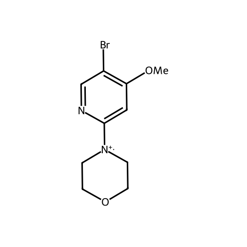 COc1cc([N+]2CCOCC2)ncc1Br